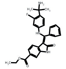 CCOC(=O)c1ccc2c(c1)NC(=O)C2=C(Nc1ccc(C(C)(C)N)c(F)c1)c1ccccc1